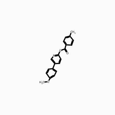 COc1ccc(-c2ccc(OC(=O)c3ccc(C)cc3)nc2)cc1